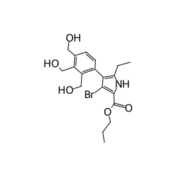 CCCOC(=O)c1[nH]c(CC)c(-c2ccc(CO)c(CO)c2CO)c1Br